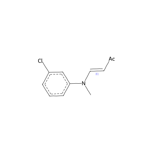 CC(=O)/C=C/N(C)c1cccc(Cl)c1